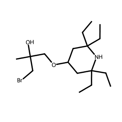 CCC1(CC)CC(OCC(C)(O)CBr)CC(CC)(CC)N1